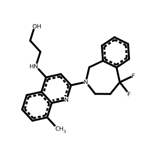 Cc1cccc2c(NCCO)cc(N3CCC(F)(F)c4ccccc4C3)nc12